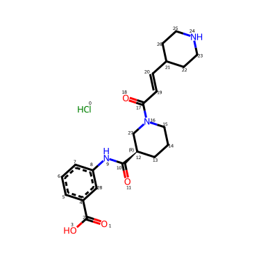 Cl.O=C(O)c1cccc(NC(=O)[C@@H]2CCCN(C(=O)C=CC3CCNCC3)C2)c1